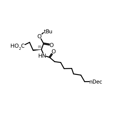 CCCCCCCCCCCCCCCCCC(=O)N[C@@H](CCC(=O)O)C(=O)OC(C)(C)C